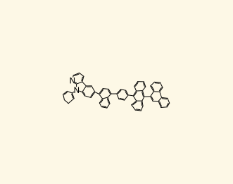 C1=CC(n2c3ccc(-c4ccc(-c5ccc(-c6c7ccccc7c(-c7cc8ccccc8c8ccccc78)c7ccccc67)cc5)c5ccccc45)cc3c3cccnc32)=CCC1